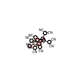 N#Cc1cc(C#N)cc(-c2ccc3c4ccc(-c5cc(C#N)cc(C#N)c5)cc4n(-c4ccc(C#N)cc4-c4nc(-c5ccccc5)nc(-c5cc(C#N)ccc5-n5c6cc(-c7cc(C#N)cc(C#N)c7)ccc6c6ccc(-c7cc(C#N)cc(C#N)c7)cc65)n4)c3c2)c1